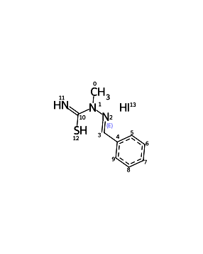 CN(/N=C/c1ccccc1)C(=N)S.I